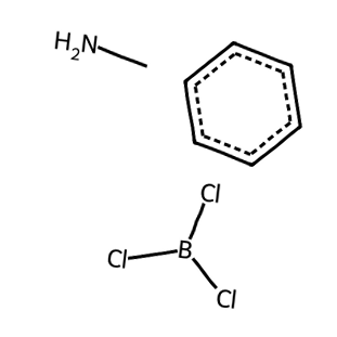 CN.ClB(Cl)Cl.c1ccccc1